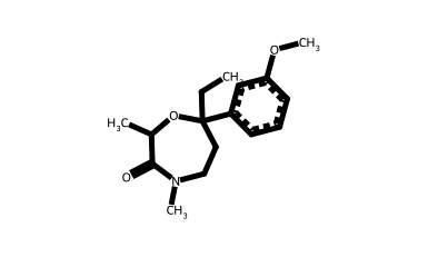 CCC1(c2cccc(OC)c2)CCN(C)C(=O)C(C)O1